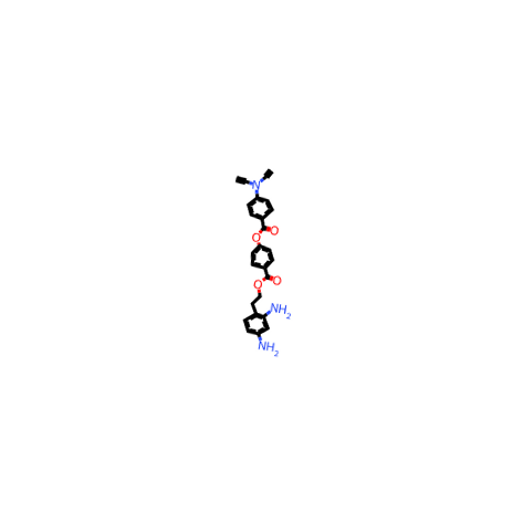 C#CN(C#C)c1ccc(C(=O)Oc2ccc(C(=O)OCCc3ccc(N)cc3N)cc2)cc1